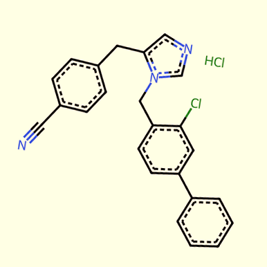 Cl.N#Cc1ccc(Cc2cncn2Cc2ccc(-c3ccccc3)cc2Cl)cc1